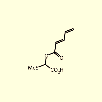 C=CC=CC(=O)OC(SC)C(=O)O